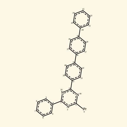 CC(C)c1nc(-c2ccccc2)nc(-c2ccc(-c3ccc(-c4ccccc4)cc3)cc2)n1